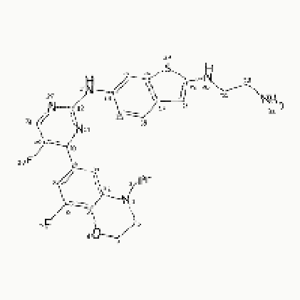 CC(C)N1CCOc2c(F)cc(-c3nc(Nc4ccc5cc(NCCN)sc5c4)ncc3F)cc21